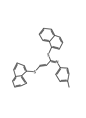 Cc1ccc(N=C(C=CSc2cccc3ccccc23)Sc2cccc3ccccc23)cc1